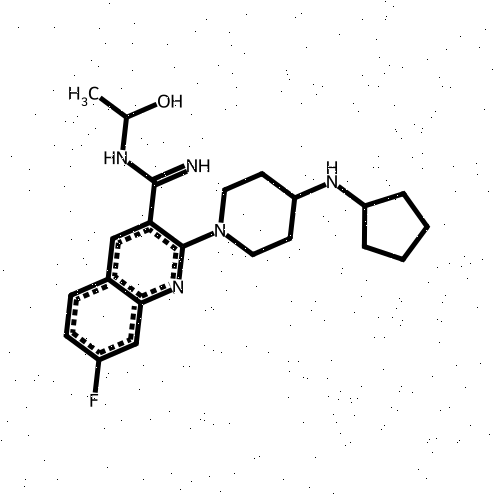 CC(O)NC(=N)c1cc2ccc(F)cc2nc1N1CCC(NC2CCCC2)CC1